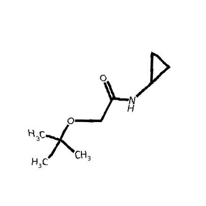 CC(C)(C)OCC(=O)NC1CC1